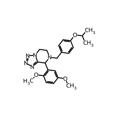 COc1ccc(OC)c(C2c3nnnn3CCN2Cc2ccc(OC(C)C)cc2)c1